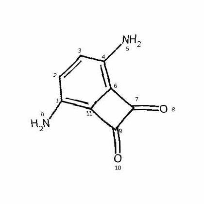 Nc1ccc(N)c2c(=O)c(=O)c12